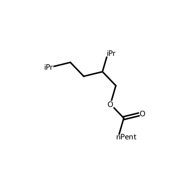 CCCCCC(=O)OCC(CCC(C)C)C(C)C